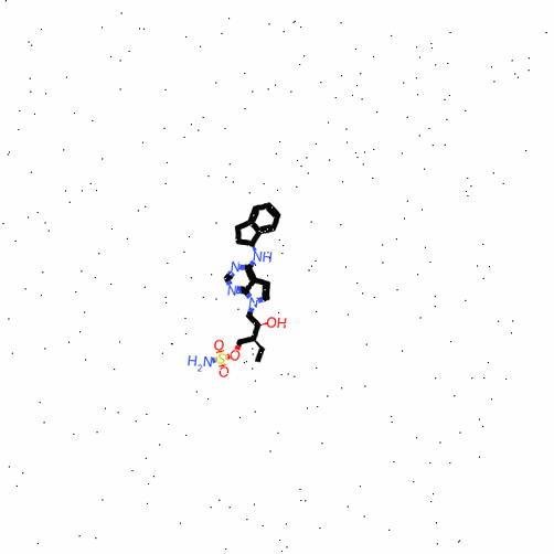 CC[C@@H](COS(N)(=O)=O)[C@@H](O)Cn1ccc2c(N[C@H]3CCc4ccccc43)ncnc21